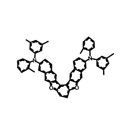 Cc1cc(C)cc(N(c2ccc3cc4c(cc3c2)oc2ccc3oc5cc6cc(N(c7cc(C)cc(C)c7)c7ccccc7C)ccc6cc5c3c24)c2ccccc2C)c1